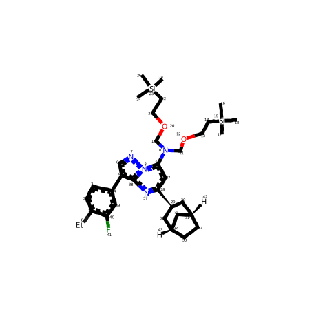 CCc1ccc(-c2cnn3c(N(COCC[Si](C)(C)C)COCC[Si](C)(C)C)cc([C@H]4C[C@@H]5CC[C@@H](C5)C4)nc23)cc1F